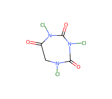 O=C1CN(Cl)C(=O)N(Cl)C(=O)N1Cl